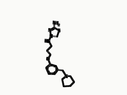 NC1=NN(NCCCOc2cccc(CN3CCCCC3)c2)CS1